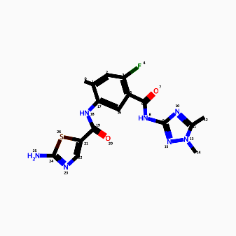 Cc1cc(F)c(C(=O)Nc2nc(C)n(C)n2)cc1NC(=O)c1cnc(N)s1